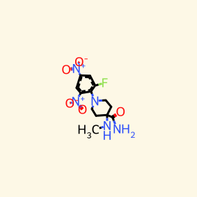 CNC1(C(N)=O)CCN(c2c(F)cc([N+](=O)[O-])cc2[N+](=O)[O-])CC1